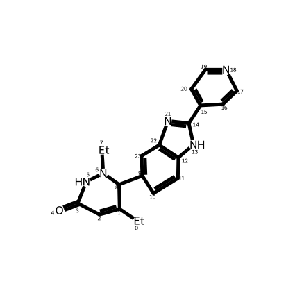 CCC1=CC(=O)NN(CC)C1c1ccc2[nH]c(-c3ccncc3)nc2c1